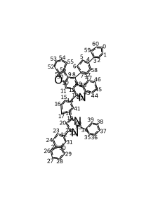 c1ccc(-c2ccc(-c3c4c(cc5c(-c6cccc(-c7cc(-c8ccc9ccccc9c8)nc(-c8ccccc8)n7)c6)nc6ccccc6c35)oc3ccccc34)cc2)cc1